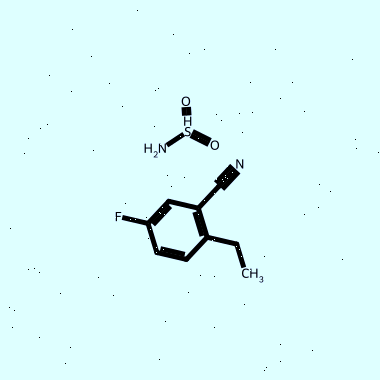 CCc1ccc(F)cc1C#N.N[SH](=O)=O